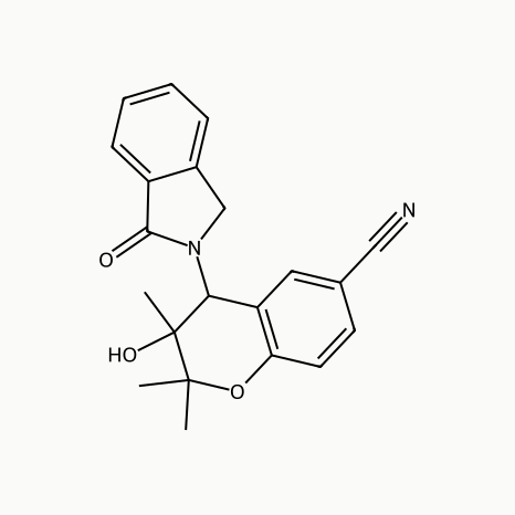 CC1(C)Oc2ccc(C#N)cc2C(N2Cc3ccccc3C2=O)C1(C)O